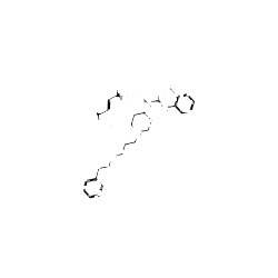 CN(C1=Nc2ccccc2CS1)C1CCN(CCCOCCc2ccccc2)CC1.O=C(O)C=CC(=O)O